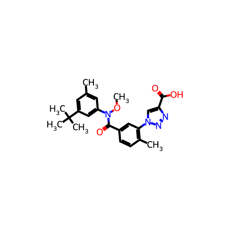 CON(C(=O)c1ccc(C)c(-n2cc(C(=O)O)nn2)c1)c1cc(C)cc(C(C)(C)C)c1